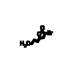 CCCCC1CC(Br)C(=O)O1